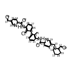 Cc1c(NC(=O)c2ccc(CN3CCCCC3C=O)cn2)cccc1-c1cccc(NC(=O)c2ccc(C=O)cn2)c1Cl